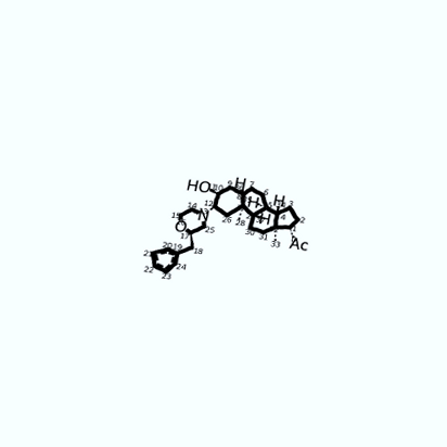 CC(=O)[C@H]1CC[C@H]2[C@@H]3CC[C@H]4C[C@H](O)[C@@H](N5CCO[C@H](Cc6ccccc6)C5)C[C@]4(C)[C@H]3CC[C@]12C